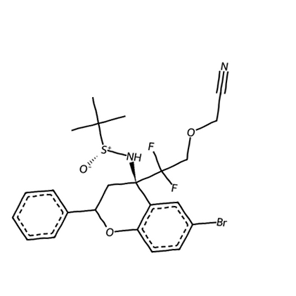 CC(C)(C)[S@@+]([O-])N[C@]1(C(F)(F)COCC#N)CC(c2ccccc2)Oc2ccc(Br)cc21